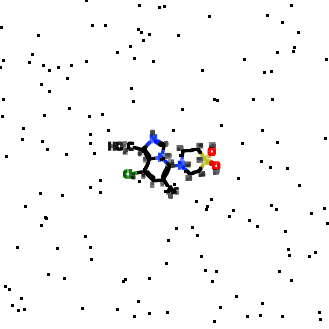 CC(=O)c1cc(Cl)c2c(C(=O)O)ncn2c1N1CCS(=O)(=O)CC1